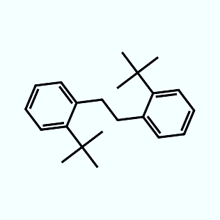 CC(C)(C)c1ccccc1CCc1ccccc1C(C)(C)C